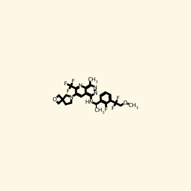 COCC(F)(F)c1cccc([C@@H](C)Nc2nnc(C)c3nc(C(F)(F)F)c(N4CCC5(COC5)C4)cc23)c1F